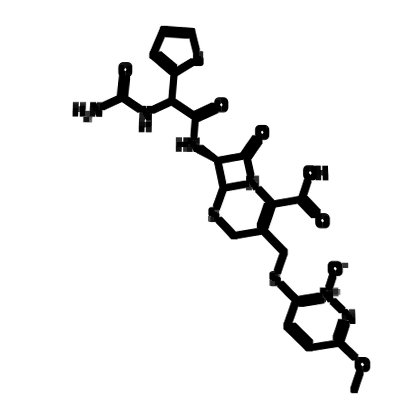 COc1ccc(SCC2=C(C(=O)O)N3C(=O)[C@H](NC(=O)C(NC(N)=O)c4cccs4)C3SC2)[n+]([O-])n1